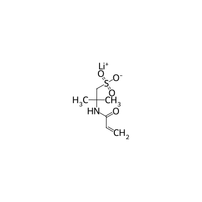 C=CC(=O)NC(C)(C)CS(=O)(=O)[O-].[Li+]